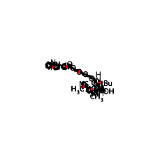 Cc1ncsc1-c1ccc([C@H](C)NC(=O)[C@@H]2C[C@@H](O)CN2C(=O)C(NC(=O)COCCOCCOCCOCC(=O)N2CCN(c3ccn4c(n3)nc3ccccc34)CC2)C(C)(C)C)cc1